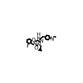 CCN(C)c1ccc(Cc2nc3c([nH]2)c(=O)n(Cc2ccccc2F)c(=O)n3CC2CC2)cc1